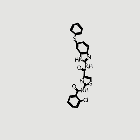 O=C(Nc1nc2ccc(Sc3ccccc3)cc2[nH]1)c1csc(NC(=O)c2ccccc2Cl)n1